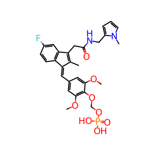 COc1cc(C=C2C(C)=C(CC(=O)NCc3cccn3C)c3cc(F)ccc32)cc(OC)c1OCOP(=O)(O)O